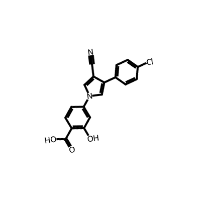 N#Cc1cn(-c2ccc(C(=O)O)c(O)c2)cc1-c1ccc(Cl)cc1